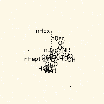 CCCCCC/C=C\CCCCCCCCCC(=O)NC1C(OCC2OC(OP(=O)(O)O)C(NC(=O)CC(=O)CCCCCCCCCCC)C(OCCCCCCCCCC)C2O)OC(COC)C(OP(=O)(O)O)C1OCCC(CCCCCCC)OC